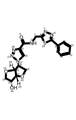 O=C(NCc1nnc(-c2ccccc2)s1)c1cn([C@H]2CO[C@H]3[C@@H]2OC[C@H]3O)nn1